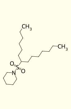 CCCCCCCC(CCCCCC)S(=O)(=O)N1CCCCC1